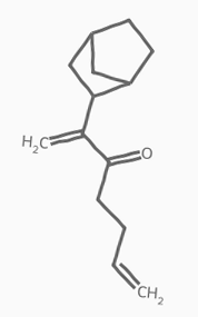 C=CCCC(=O)C(=C)C1CC2CCC1C2